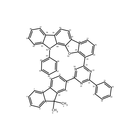 CC1(C)c2ccccc2-c2ccc(-c3nc(-c4ccccc4)nc(-c4cccc5c4oc4c5ccc5c6ccccc6n(-c6ccccc6)c54)n3)cc21